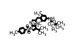 Cc1ccc(S(=O)(=O)n2cc(C(C)C)c3nc(Cc4c(C)cc(NC(=O)OC(C)(C)C)cc4C)cnc32)cc1